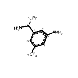 CC(C)[C@@H](N)c1cc(N)cc(C(F)(F)F)c1